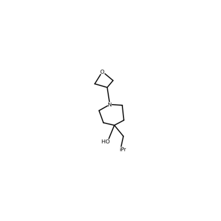 CC(C)CC1(O)CCN(C2COC2)CC1